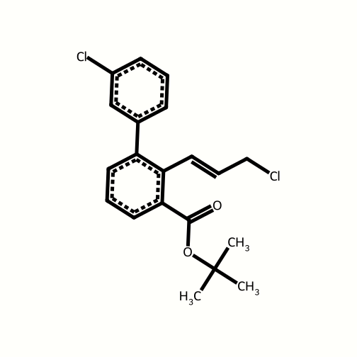 CC(C)(C)OC(=O)c1cccc(-c2cccc(Cl)c2)c1/C=C/CCl